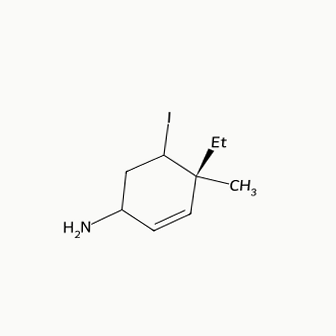 CC[C@@]1(C)C=CC(N)CC1I